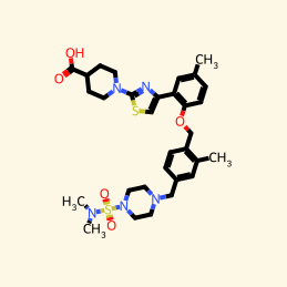 Cc1ccc(OCc2ccc(CN3CCN(S(=O)(=O)N(C)C)CC3)cc2C)c(-c2csc(N3CCC(C(=O)O)CC3)n2)c1